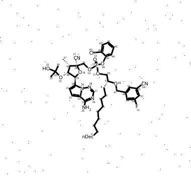 CCCCCCCCCCCCCCCCCC[C@H](COP(=O)(OC[C@@]1(C#N)O[C@@H](c2ccc3c(N)ncnn23)[C@H](OC(C)(C)O)[C@@H]1C)Oc1ccccc1Cl)OCc1cc(F)cc(C#N)c1